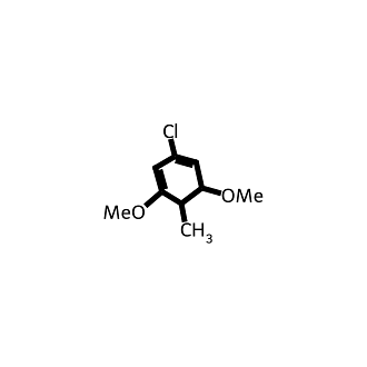 COC1=CC(Cl)=CC(OC)C1C